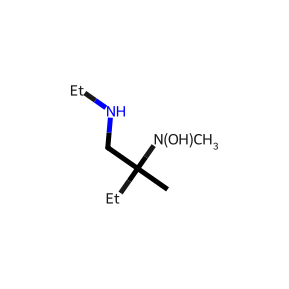 CCNCC(C)(CC)N(C)O